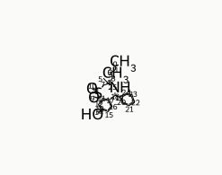 CCCCC1(CC)CS(=O)(=O)c2cc(O)ccc2C(c2ccccc2)N1